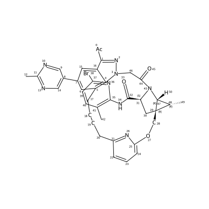 CC(=O)c1nn2c3c(cc(-c4cnc(C)nc4)cc13)CCCCc1cccc(n1)OC[C@@]13C[C@@H](C(=O)Nc4nc(Br)ccc4C)N(C(=O)C2)[C@@H]1[C@@H]3C